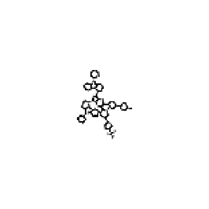 Cc1ccc(-c2ccc3c(c2)c2cc(-c4ccc(C(F)(F)F)cc4)ccc2c2nc4c(-c5cccc6c5c5ccccc5n6-c5ccccc5)sc(-c5cccc6c5c5ccccc5n6-c5ccccc5)c4nc32)cc1